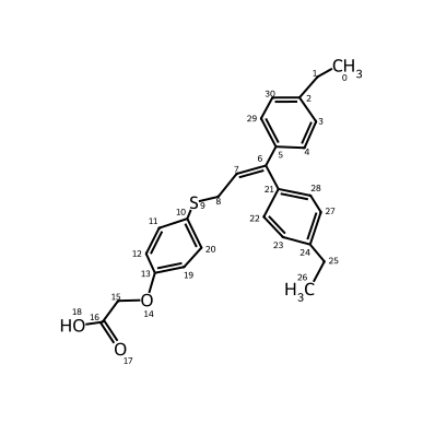 CCc1ccc(C(=CCSc2ccc(OCC(=O)O)cc2)c2ccc(CC)cc2)cc1